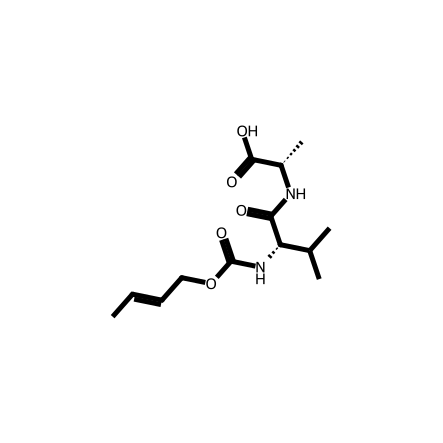 C/C=C/COC(=O)N[C@H](C(=O)N[C@@H](C)C(=O)O)C(C)C